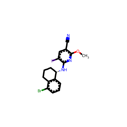 COc1nc(N[C@H]2CCCc3c(Br)cccc32)c(I)cc1C#N